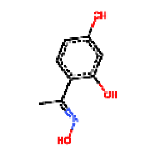 CC(=NO)c1ccc(O)cc1O